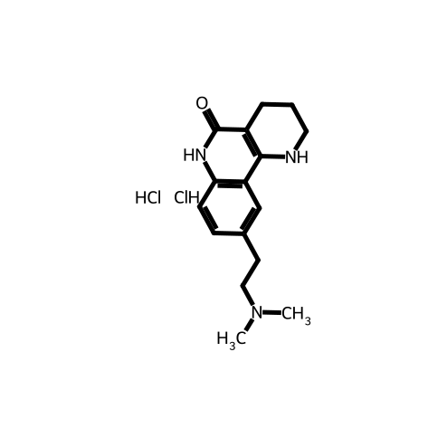 CN(C)CCc1ccc2[nH]c(=O)c3c(c2c1)NCCC3.Cl.Cl